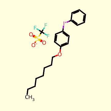 CCCCCCCCOc1ccc([I+]c2ccccc2)cc1.O=S(=O)([O-])C(F)(F)F